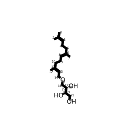 CC(C)=CCCC(C)=CCCC(C)=CCOC[C@H](O)[C@H](O)CO